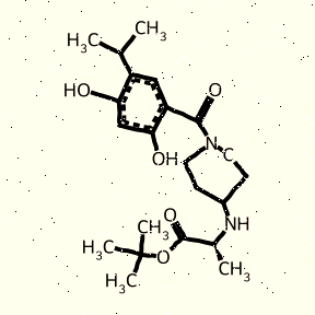 CC(C)c1cc(C(=O)N2CCC(N[C@@H](C)C(=O)OC(C)(C)C)CC2)c(O)cc1O